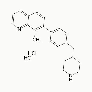 Cc1c(-c2ccc(CC3CCNCC3)cc2)ccc2cccnc12.Cl.Cl